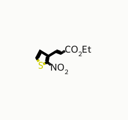 CCOC(=O)/C=C/c1ccsc1[N+](=O)[O-]